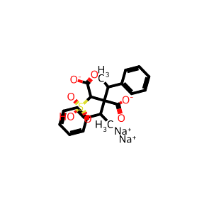 CC(c1ccccc1)C(C(=O)[O-])(C(C)c1ccccc1)C(C(=O)[O-])S(=O)(=O)O.[Na+].[Na+]